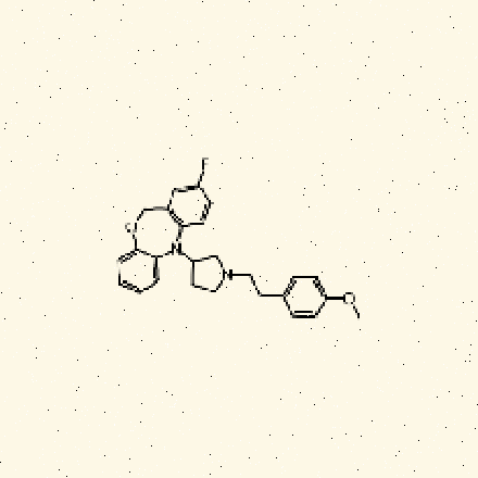 COc1ccc(CCN2CCC(N3c4ccc(F)cc4COc4ccccc43)C2)cc1